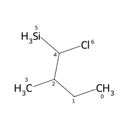 CCC(C)C([SiH3])Cl